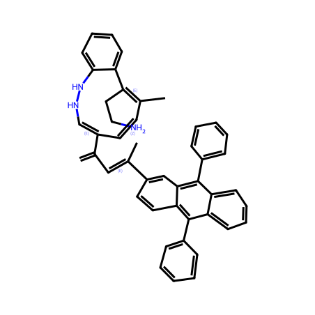 C=C(/C=C(\C)c1ccc2c(-c3ccccc3)c3ccccc3c(-c3ccccc3)c2c1)C1=C/NNc2ccccc2/C(CCN)=C(C)/C=C\1